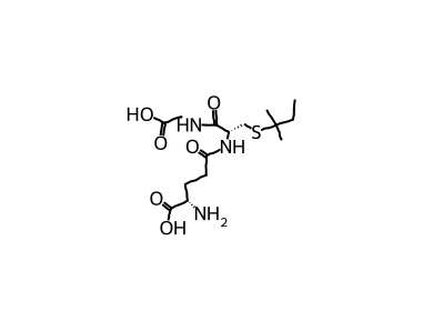 CCC(C)(C)SC[C@H](NC(=O)CC[C@H](N)C(=O)O)C(=O)NCC(=O)O